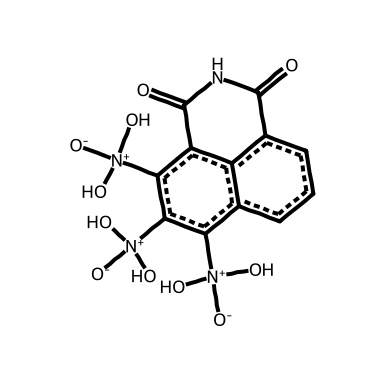 O=C1NC(=O)c2c([N+]([O-])(O)O)c([N+]([O-])(O)O)c([N+]([O-])(O)O)c3cccc1c23